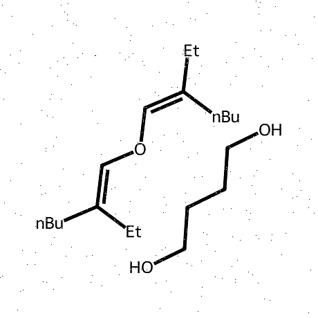 CCCCC(=COC=C(CC)CCCC)CC.OCCCCO